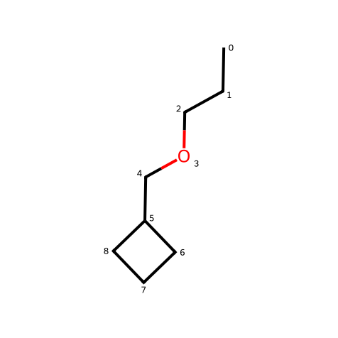 CCCOCC1CCC1